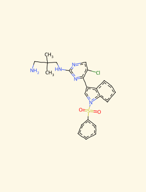 CC(C)(CN)CNc1ncc(Cl)c(-c2cn(S(=O)(=O)c3ccccc3)c3ccccc23)n1